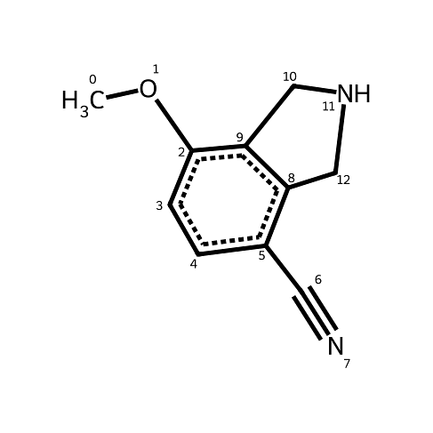 COc1ccc(C#N)c2c1CNC2